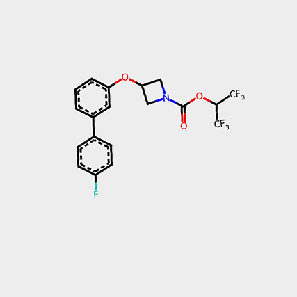 O=C(OC(C(F)(F)F)C(F)(F)F)N1CC(Oc2cccc(-c3ccc(F)cc3)c2)C1